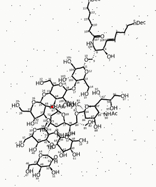 CCCCCCCCCCCCC/C=C/[C@@H](O)[C@H](CO[C@@H]1OC(CO)[C@@H](O[C@@H]2OC(CO)[C@H](O[C@@H]3OC(CO)[C@H](O)[C@H](O[C@@H]4OC(CO)[C@H](O)[C@H](O[C@H]5OC(CO)[C@H](O)[C@H](O)C5O)C4O[C@H]4OC(C)[C@@H](O)C(O)[C@@H]4O)C3NC(C)=O)[C@H](O[C@]3(C(=O)O)CC(O)[C@@H](NC(C)=O)C([C@H](O)[C@@H](CO)O[C@]4(C(=O)O)CC(O)[C@@H](NC(C)=O)C([C@H](O)[C@H](O)CO)O4)O3)C2O)[C@H](O)C1O)NC(=O)CCCCCCCCCCCCCCC